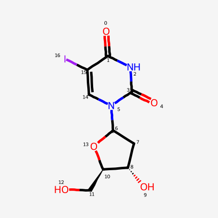 O=c1[nH]c(=O)n([C]2C[C@H](O)[C@@H](CO)O2)cc1I